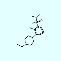 CCN1CCC(c2cccc(S(=O)(=O)N(C)C)c2F)CC1